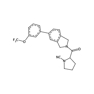 N#CN1CCCC1C(=O)N1Cc2ccc(-c3cccc(OC(F)(F)F)c3)cc2C1